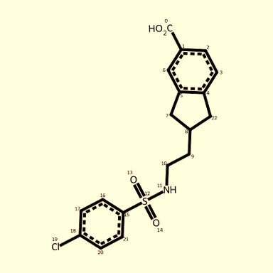 O=C(O)c1ccc2c(c1)CC(CCNS(=O)(=O)c1ccc(Cl)cc1)C2